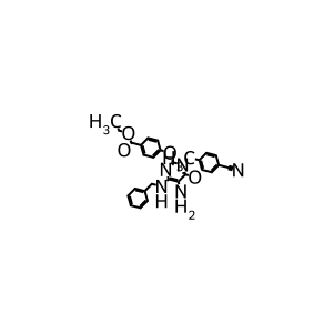 CCOC(=O)c1ccc(Oc2nc(NCc3ccccc3)c(N)c(Oc3cc(C#N)ccc3C)n2)cc1